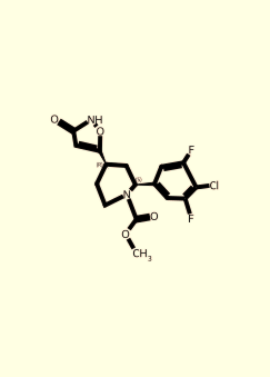 COC(=O)N1CC[C@@H](c2cc(=O)[nH]o2)C[C@H]1c1cc(F)c(Cl)c(F)c1